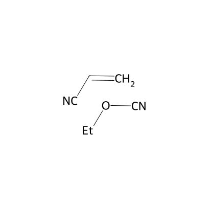 C=CC#N.CCOC#N